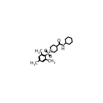 Cc1cc(C)c(S(=O)(=O)N2CCC(C(=O)NC3CCCCC3)CC2)c(C)c1